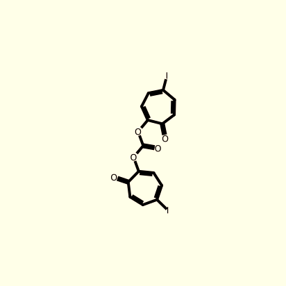 O=C(Oc1ccc(I)ccc1=O)Oc1ccc(I)ccc1=O